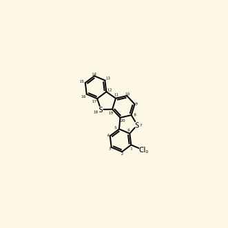 Clc1cccc2c1sc1ccc3c4ccccc4sc3c12